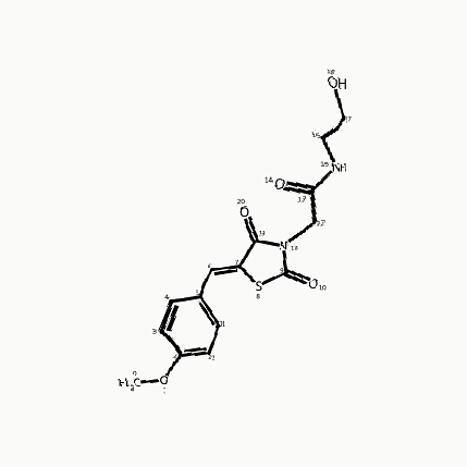 COc1ccc(/C=C2\SC(=O)N(CC(=O)NCCO)C2=O)cc1